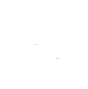 Cc1cc([N+](=O)[O-])c2c(c1S)CCC2